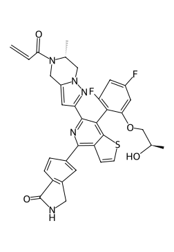 C=CC(=O)N1Cc2cc(-c3nc(-c4ccc5c(c4)CNC5=O)c4ccsc4c3-c3c(F)cc(F)cc3OC[C@@H](C)O)nn2C[C@H]1C